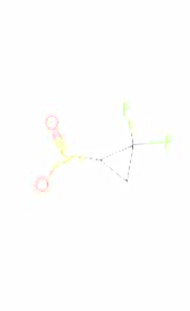 [O]S(=O)C1CC1(F)F